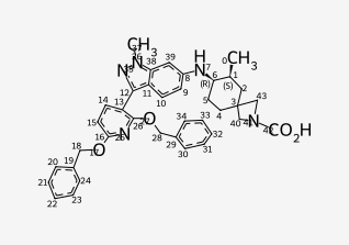 C[C@H]1CC2(CC[C@H]1Nc1ccc3c(-c4ccc(OCc5ccccc5)nc4OCc4ccccc4)nn(C)c3c1)CN(C(=O)O)C2